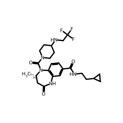 C[C@H]1CC(=O)Nc2cc(C(=O)NCCC3CC3)ccc2N1C(=O)N1CCC(NCC(F)(F)F)CC1